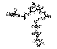 CCCCC(CC)COC(=O)CC(C(=O)OCC(CC)CCCC)S(=O)(=O)[O-].[Na+].[O-]B([O-])[O-].[O-]B([O-])[O-].[O-]B([O-])[O-].[O-]B([O-])[O-].[Sn+4].[Sn+4].[Sn+4]